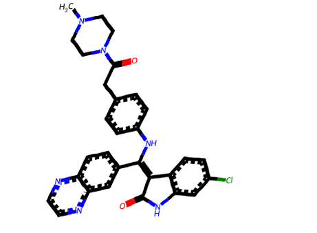 CN1CCN(C(=O)Cc2ccc(NC(=C3C(=O)Nc4cc(Cl)ccc43)c3ccc4nccnc4c3)cc2)CC1